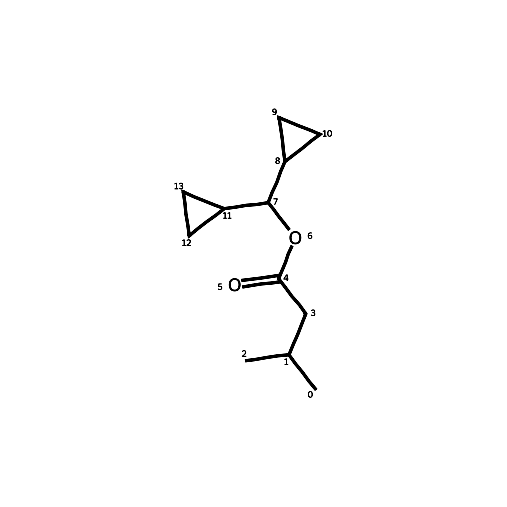 CC(C)CC(=O)OC(C1CC1)C1CC1